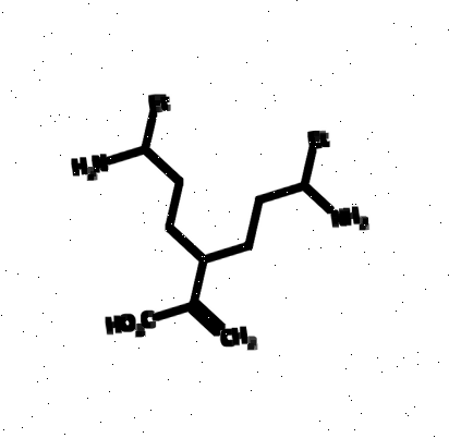 C=C(C(=O)O)C(CCC(N)CC)CCC(N)CC